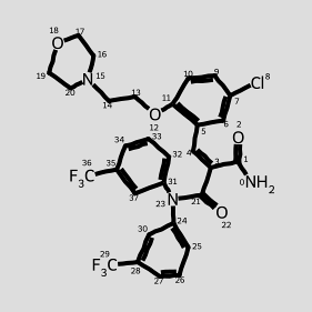 NC(=O)C(=Cc1cc(Cl)ccc1OCCN1CCOCC1)C(=O)N(c1cccc(C(F)(F)F)c1)c1cccc(C(F)(F)F)c1